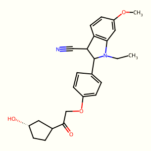 CCN1c2cc(OC)ccc2C(C#N)C1c1ccc(OCC(=O)C2CC[C@H](O)C2)cc1